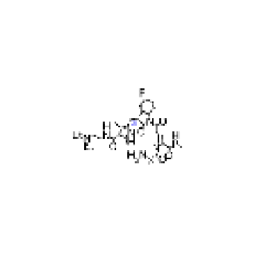 CCN(CC)CCNC(=O)c1c(C)[nH]c(/C=C2\C(=O)N(C(=O)CC[C@H](NC(=O)[C@H](C)N)C(=O)PC)c3ccc(F)cc32)c1C